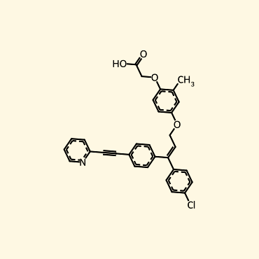 Cc1cc(OC/C=C(/c2ccc(Cl)cc2)c2ccc(C#Cc3ccccn3)cc2)ccc1OCC(=O)O